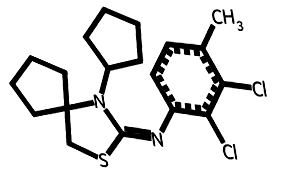 Cc1ccc(/N=C2/SCC3(CCCC3)N2C2CCCC2)c(Cl)c1Cl